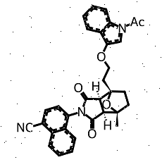 CC(=O)n1cc(OCC[C@@]23CC[C@@](C)(O2)[C@H]2C(=O)N(c4ccc(C#N)c5ccccc45)C(=O)[C@H]23)c2ccccc21